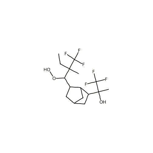 CCC(C)(C(OO)C1CC2CC1C(C(C)(O)C(F)(F)F)C2)C(F)(F)F